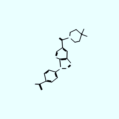 NC(=O)c1ccc(-n2nnc3cc(C(=O)N4CCC(F)(F)CC4)cnc32)cc1